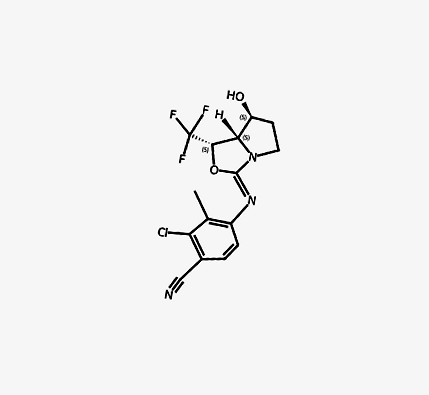 Cc1c(N=C2O[C@H](C(F)(F)F)[C@@H]3[C@@H](O)CCN23)ccc(C#N)c1Cl